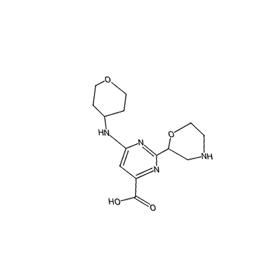 O=C(O)c1cc(NC2CCOCC2)nc(C2CNCCO2)n1